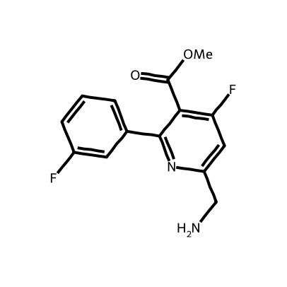 COC(=O)c1c(F)cc(CN)nc1-c1cccc(F)c1